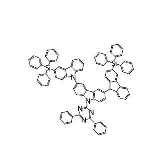 c1ccc(-c2nc(-c3ccccc3)nc(-n3c4ccc(C5c6ccccc6-c6cc([Si](c7ccccc7)(c7ccccc7)c7ccccc7)ccc65)cc4c4cc(-n5c6ccccc6c6cc([Si](c7ccccc7)(c7ccccc7)c7ccccc7)ccc65)ccc43)n2)cc1